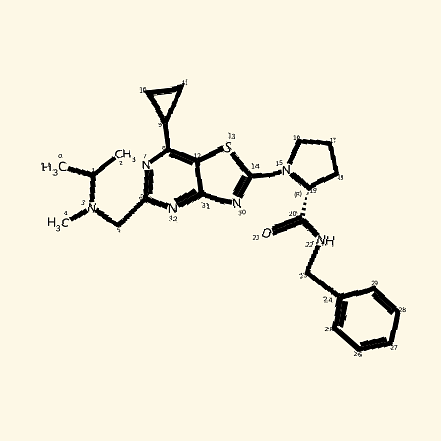 CC(C)N(C)Cc1nc(C2CC2)c2sc(N3CCC[C@@H]3C(=O)NCc3ccccc3)nc2n1